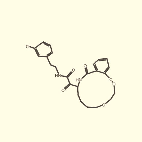 O=C(NCCc1cccc(Cl)c1)C(=O)C1CCCCOCCOCc2ccccc2C(=O)N1